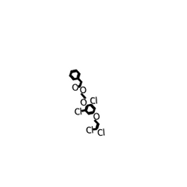 O=C(Cc1ccccc1)OCCOc1c(Cl)cc(OCC=C(Cl)Cl)cc1Cl